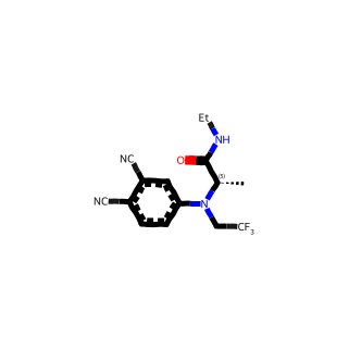 CCNC(=O)[C@H](C)N(CC(F)(F)F)c1ccc(C#N)c(C#N)c1